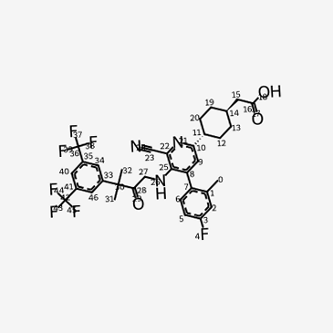 Cc1cc(F)ccc1-c1cc([C@H]2CC[C@H](CC(=O)O)CC2)nc(C#N)c1NCC(=O)C(C)(C)c1cc(C(F)(F)F)cc(C(F)(F)F)c1